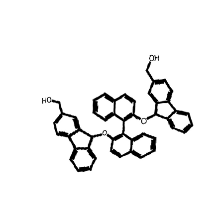 OCc1ccc2c(c1)C(Oc1ccc3ccccc3c1-c1c(OC3c4ccccc4-c4ccc(CO)cc43)ccc3ccccc13)c1ccccc1-2